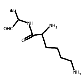 CCC(C)C([C]=O)NC(=O)C(N)CCCCN